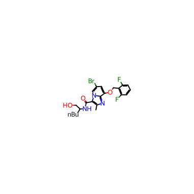 CCCCC(CO)NC(=O)c1c(C)nc2c(OCc3c(F)cccc3F)cc(Br)cn12